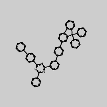 c1ccc(-c2ccc(-c3nc(-c4ccccc4)nc(-c4cccc(-c5ccc(-c6ccc7c(c6)C(c6ccccc6)(c6ccccc6)c6ccccc6-7)cc5)c4)n3)cc2)cc1